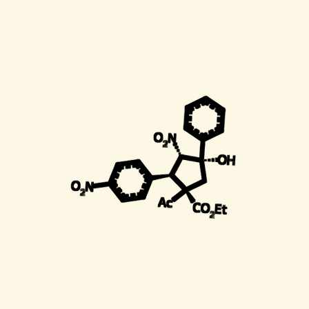 CCOC(=O)[C@]1(C(C)=O)C[C@](O)(c2ccccc2)[C@@H]([N+](=O)[O-])[C@@H]1c1ccc([N+](=O)[O-])cc1